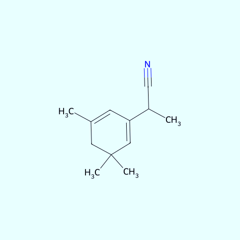 CC1=CC(C(C)C#N)=CC(C)(C)C1